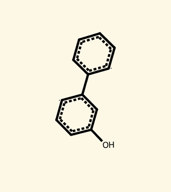 Oc1cc[c]c(-c2[c]cccc2)c1